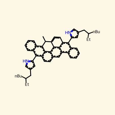 CCCCC(CC)Cc1c[nH]c(-c2c3c4c5c6c(ccc7c(-c8cc(CC(CC)CCCC)c[nH]8)c8ccccc8c(c76)C(C)C5=C=C3)cc4c3ccccc23)c1